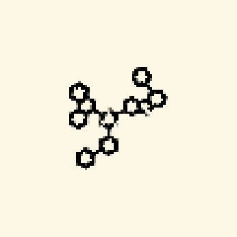 c1ccc(-c2cccc(-c3nc(-c4ccc5c(c4)oc4cccc(-c6ccccc6)c45)nc(-c4cc5ccccc5c5ccccc45)n3)c2)cc1